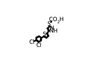 O=C(O)CSc1cc(-c2ccc(-c3ccc(Cl)c(Cl)c3)s2)[nH]n1